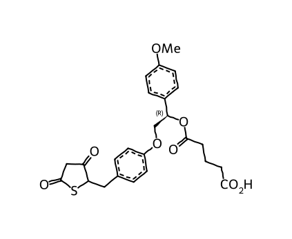 COc1ccc([C@H](COc2ccc(CC3SC(=O)CC3=O)cc2)OC(=O)CCCC(=O)O)cc1